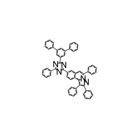 c1ccc(-c2cc(-c3ccccc3)cc(-c3nc(-c4ccccc4)nc(-c4ccc5c(c4)cc(-c4ccccc4)n4nc(-c6ccccc6)c(-c6ccccc6)c54)n3)c2)cc1